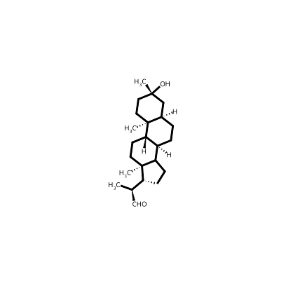 C[C@H](C=O)[C@H]1CCC2[C@@H]3CC[C@@H]4C[C@@](C)(O)CC[C@]4(C)[C@H]3CC[C@@]21C